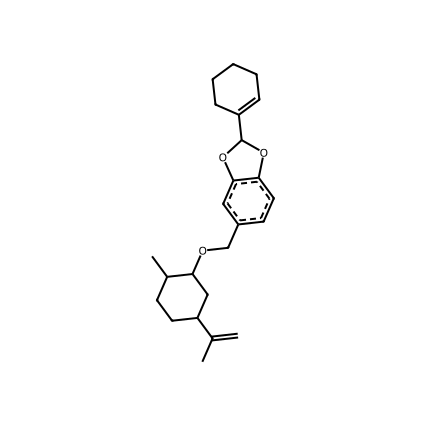 C=C(C)C1CCC(C)C(OCc2ccc3c(c2)OC(C2=CCCCC2)O3)C1